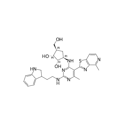 Cc1nc(NCCC2CNc3ccccc32)nc(N[C@@H]2C[C@H](CO)[C@@H](O)[C@H]2O)c1-c1nc2c(C)nccc2s1